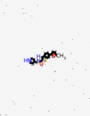 Cc1ccc(-c2ccc3cc(C(=O)NCC4CCNCC4)sc3c2)o1